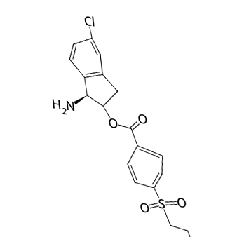 COCCS(=O)(=O)c1ccc(C(=O)OC2Cc3cc(Cl)ccc3[C@@H]2N)cc1